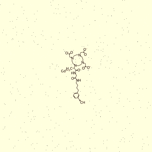 C#Cc1cccc(CCCCNC(=O)CNC(=O)C(C)N2CCN(CC(=O)[O-])CCN(CC(=O)[O-])CCN(CC(=O)[O-])CC2)c1.[Gd+3]